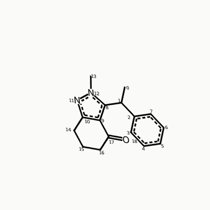 CC(c1ccccc1)c1c2c(nn1C)CCCC2=O